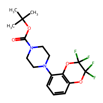 CC(C)(C)OC(=O)N1CCN(c2cccc3c2OC(F)(F)C(F)(F)O3)CC1